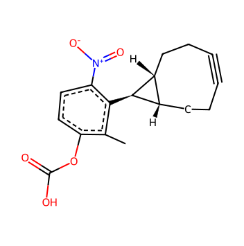 Cc1c(OC(=O)O)ccc([N+](=O)[O-])c1[C@H]1[C@@H]2CCC#CCC[C@@H]21